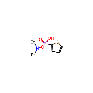 CCN(CC)OP(=O)(O)c1cccs1